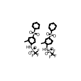 Cc1cc(S(=O)(=O)c2ccccc2)ccc1NS(=O)(=O)C(F)(F)F.Cc1cc(S(=O)(=O)c2ccccc2)ccc1NS(=O)(=O)C(F)(F)F